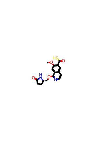 COc1cc2c(OC[C@@H]3CCC(=O)N3)nccc2cc1C(=O)S